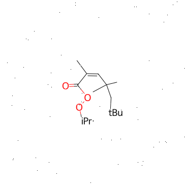 C[C](C)OOC(=O)/C(C)=C\C(C)(C)CC(C)(C)C